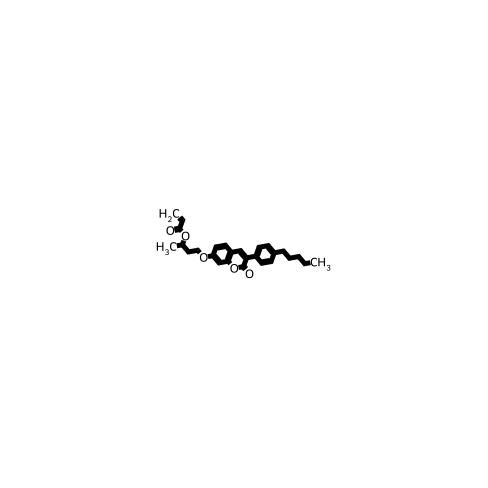 C=CC(=O)OC(C)CCOc1ccc2cc(-c3ccc(CCCCC)cc3)c(=O)oc2c1